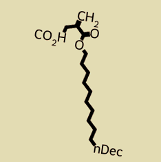 C=C(CC(=O)O)C(=O)OCCCCCCCCCCCCCCCCCCCC